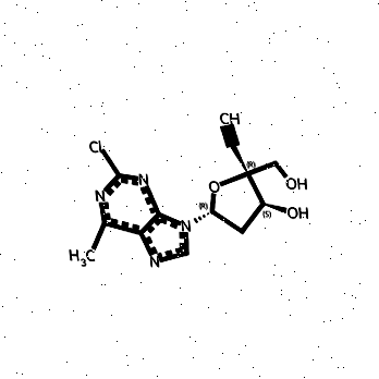 C#C[C@]1(CO)O[C@@H](n2cnc3c(C)nc(Cl)nc32)C[C@@H]1O